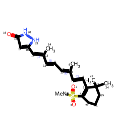 CNS(=O)(=O)C1=C(/C=C/C(C)=C/C=C/C(C)=C/c2cc(=O)[nH][nH]2)C(C)(C)CCC1